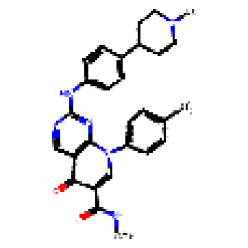 CCN1CCC(c2ccc(Nc3ncc4c(=O)c(C(=O)NOC)cn(-c5ccc(C(F)(F)F)cc5)c4n3)cc2)CC1